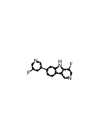 Fc1cncc(-c2ccc3c(c2)[nH]c2c(F)cncc23)c1